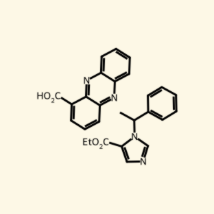 CCOC(=O)c1cncn1C(C)c1ccccc1.O=C(O)c1cccc2nc3ccccc3nc12